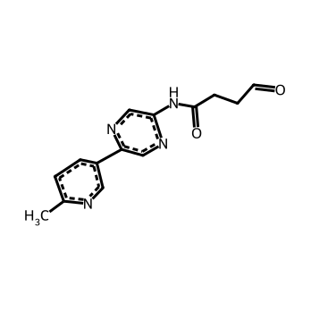 Cc1ccc(-c2cnc(NC(=O)CCC=O)cn2)cn1